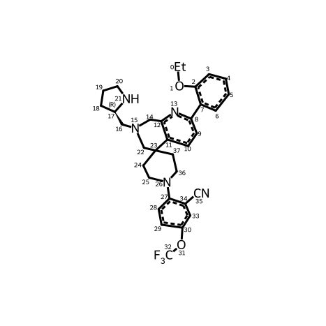 CCOc1ccccc1-c1ccc2c(n1)CN(C[C@H]1CCCN1)CC21CCN(c2ccc(OC(F)(F)F)cc2C#N)CC1